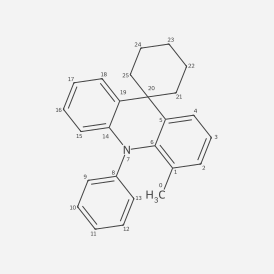 Cc1cccc2c1N(c1ccccc1)c1ccccc1C21CCCCC1